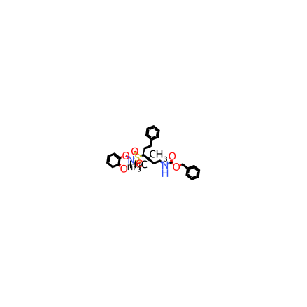 CCCN(OC1=CC=CCC1=O)S(=O)(=O)[C@@H](CCc1ccccc1)C(C)(C)CCNC(=O)OCc1ccccc1